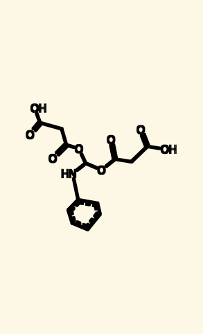 O=C(O)CC(=O)OC(Nc1ccccc1)OC(=O)CC(=O)O